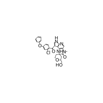 CN1C(=O)C2(CCOC(CO)C2)Nc2c1cnc1[nH]cc(C(=O)c3ccc(Oc4ccccc4)cc3Cl)c21